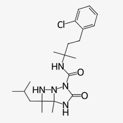 CC(C)CC1(C)NN2N(C(=O)NC(C)(C)CCc3ccccc3Cl)C(=O)NC21C